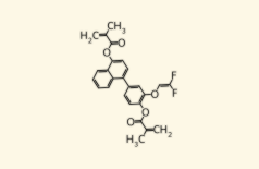 C=C(C)C(=O)Oc1ccc(-c2ccc(OC(=O)C(=C)C)c3ccccc23)cc1OC=C(F)F